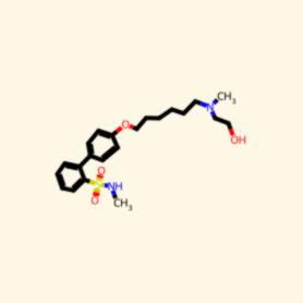 CNS(=O)(=O)c1ccccc1-c1ccc(OCCCCCCN(C)CCO)cc1